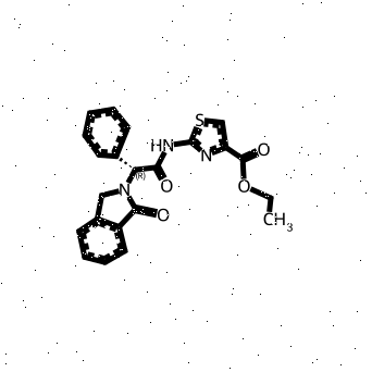 CCOC(=O)c1csc(NC(=O)[C@@H](c2ccccc2)N2Cc3ccccc3C2=O)n1